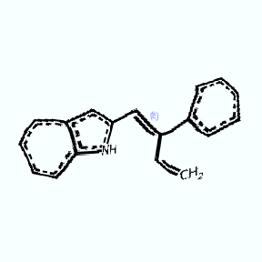 C=C/C(=C\c1cc2ccccc2[nH]1)c1ccccc1